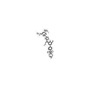 CCCN(c1nc(-c2nc(N)cc(N)n2)cs1)c1cc(-c2ccc(S(=O)(=O)N3CCN(C)CC3)cc2)cc(F)c1C